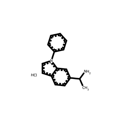 CC(N)c1ccc2ccn(-c3ccccc3)c2c1.Cl